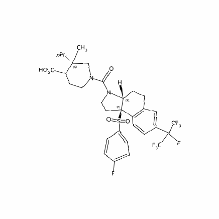 CCC[C@]1(C)CN(C(=O)N2CC[C@@]3(S(=O)(=O)c4ccc(F)cc4)c4ccc(C(F)(C(F)(F)F)C(F)(F)F)cc4CC[C@@H]23)CCC1C(=O)O